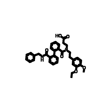 CCOc1cc(CCN(CCC(=O)O)C(=O)c2ccccc2-c2ccccc2C(=O)NCc2ccccc2)ccc1OC